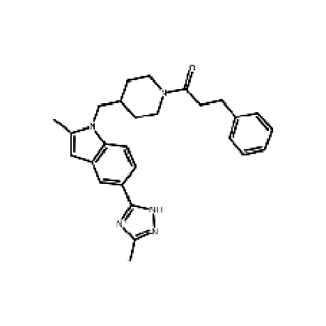 Cc1n[nH]c(-c2ccc3c(c2)cc(C)n3CC2CCN(C(=O)CCc3ccccc3)CC2)n1